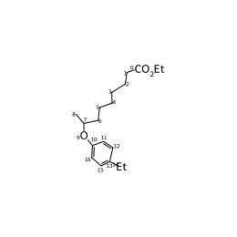 CCOC(=O)CCCCCCC(C)Oc1ccc(CC)cc1